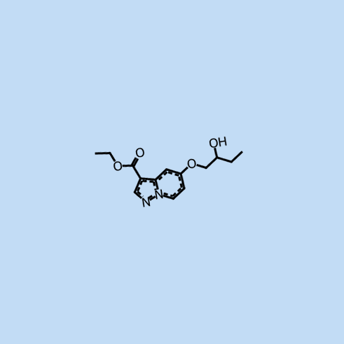 CCOC(=O)c1cnn2ccc(OCC(O)CC)cc12